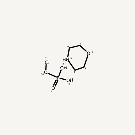 C1COCCN1.O=P(O)(O)OCl